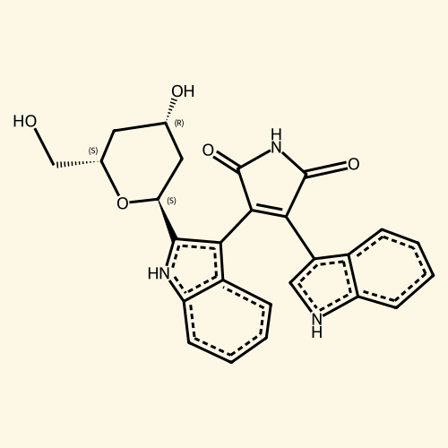 O=C1NC(=O)C(c2c([C@@H]3C[C@@H](O)C[C@@H](CO)O3)[nH]c3ccccc23)=C1c1c[nH]c2ccccc12